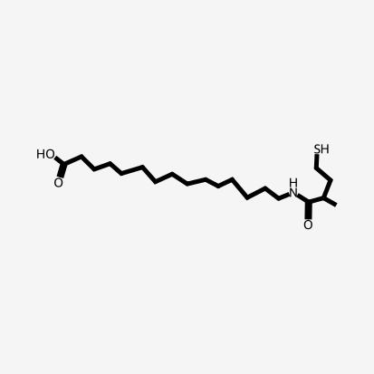 CC(CCS)C(=O)NCCCCCCCCCCCCCCC(=O)O